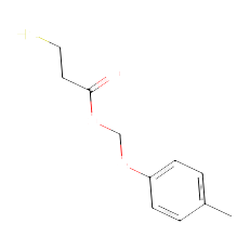 Cc1ccc(OCOC(=O)CCS)cc1